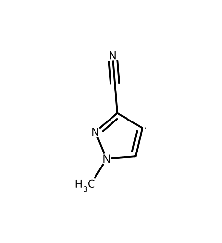 Cn1c[c]c(C#N)n1